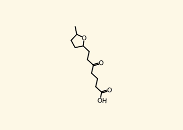 CC1CCC(CCC(=O)CCCC(=O)O)O1